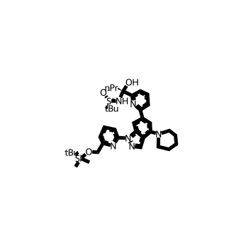 CCC[C@@](O)(N[S@+]([O-])C(C)(C)C)c1cccc(-c2cc(N3CCCCC3)c3cnn(-c4cccc(CO[Si](C)(C)C(C)(C)C)n4)c3c2)n1